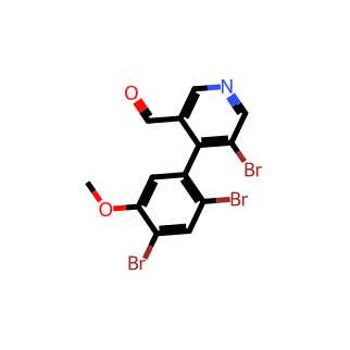 COc1cc(-c2c(Br)cncc2C=O)c(Br)cc1Br